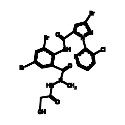 CN(NC(=O)CO)C(=O)c1cc(Br)cc(Br)c1NC(=O)c1cc(Br)nn1-c1ncccc1Cl